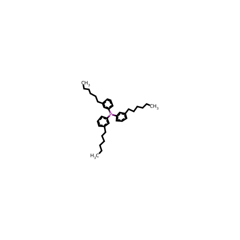 CCCCCCc1cccc(P(c2cccc(CCCCCC)c2)c2cccc(CCCCCC)c2)c1